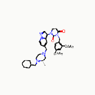 COc1ccc(CN2C(=O)CCN(c3cnn4ccc(CN5CCN(CC6CCCCC6)[C@@H](C)C5)cc34)C2=O)c(OC)c1